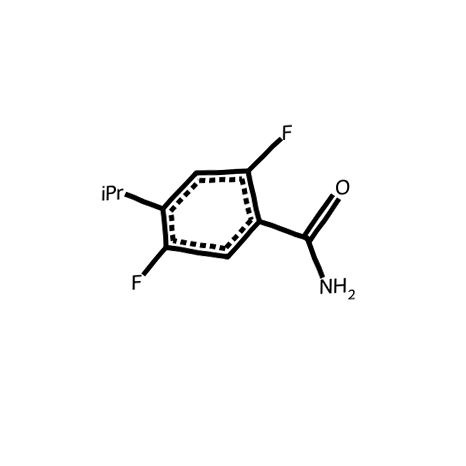 CC(C)c1cc(F)c(C(N)=O)cc1F